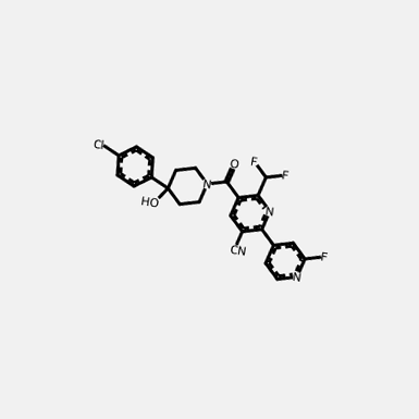 N#Cc1cc(C(=O)N2CCC(O)(c3ccc(Cl)cc3)CC2)c(C(F)F)nc1-c1ccnc(F)c1